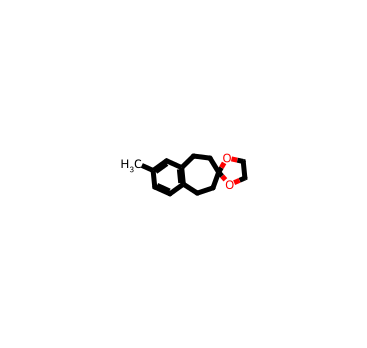 Cc1ccc2c(c1)CCC1(CC2)OCCO1